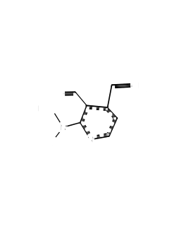 C=Cc1ccnc(N(C)C)c1C=O